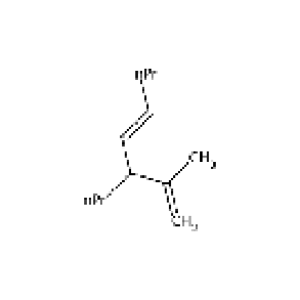 C=C(C)C(C=CCCC)C[CH]C